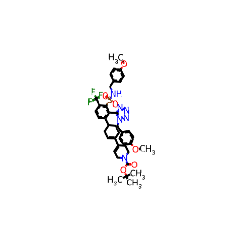 COc1ccc(CNS(=O)(=O)c2c(C(F)(F)F)ccc(C3CC=C(C4=CCN(C(=O)OC(C)(C)C)CC4)CC3)c2-c2nnnn2Cc2ccc(OC)cc2)cc1